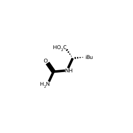 CC[C@@H](C)[C@H](NC(N)=O)C(=O)O